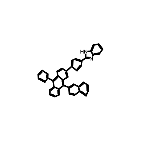 c1ccc(-c2c3ccccc3c(-c3ccc4ccccc4c3)c3cc(-c4ccc(-c5nc6ccccc6[nH]5)cc4)ccc23)cc1